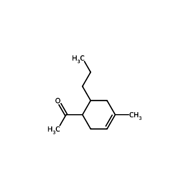 CCCC1CC(C)=CCC1C(C)=O